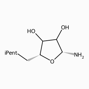 CCCC(C)C[C@H]1O[C@@H](N)C(O)C1O